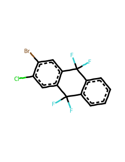 FC1(F)c2ccccc2C(F)(F)c2cc(Br)c(Cl)cc21